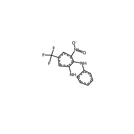 Nc1cc(C(F)(F)F)cc([N+](=O)[O-])c1Nc1ccccc1